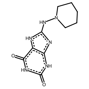 O=c1[nH]c(=O)c2[nH]c(NN3CCCCC3)nc2[nH]1